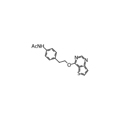 CC(=O)Nc1ccc(CCOc2ncnc3ccsc23)cc1